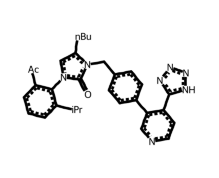 CCCCc1cn(-c2c(C(C)=O)cccc2C(C)C)c(=O)n1Cc1ccc(-c2cnccc2-c2nnn[nH]2)cc1